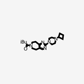 CCC(C)C(=O)N1CCc2cnc(N3CCN(C4CCC4)CC3)nc2CC1